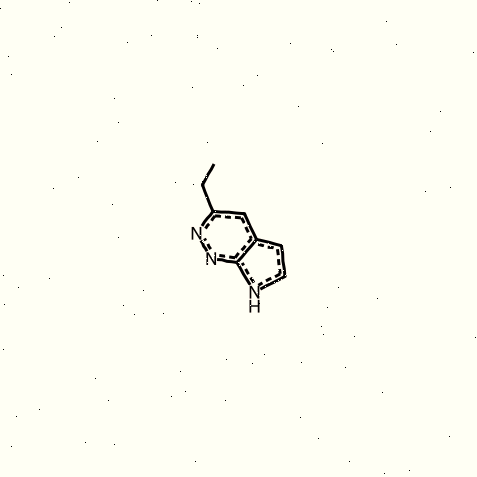 CCc1cc2cc[nH]c2nn1